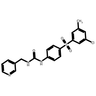 Cc1cc(Cl)cc(S(=O)(=O)c2ccc(NC(=O)NCc3cccnc3)cc2)c1